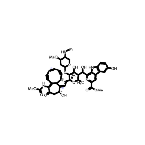 COC(=O)NC1=C2C#C/C=C\C#C[C@H](OC3OC(C)C(C(O)c4nc(C(=O)OC)cc5c4[nH]c4ccc(O)cc45)C(O)C3OC3CC(OC)C(NC(C)C)CO3)C2/C(=C\CSC(C)=O)[C@@H](O)CC1=O